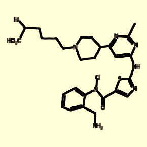 CCC(CCCCN1CCC(c2cc(Nc3ncc(C(=O)N(Cl)c4ccccc4CN)s3)nc(C)n2)CC1)C(=O)O